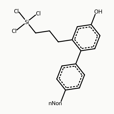 CCCCCCCCCc1ccc(-c2ccc(O)cc2CCC[Si](Cl)(Cl)Cl)cc1